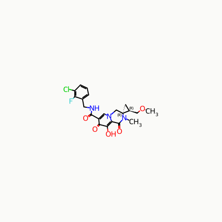 COC[C@@H]1C[C@]12Cn1cc(C(=O)NCc3cccc(Cl)c3F)c(=O)c(O)c1C(=O)N2C